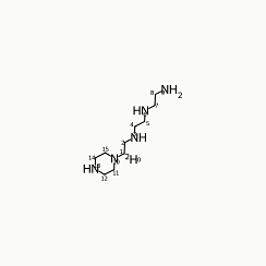 [2H]C(CNCCNCCN)N1CCNCC1